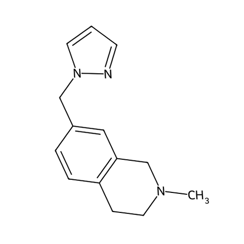 CN1CCc2ccc(Cn3cccn3)cc2C1